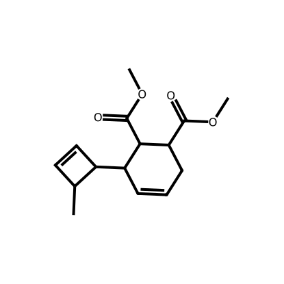 COC(=O)C1CC=CC(C2C=CC2C)C1C(=O)OC